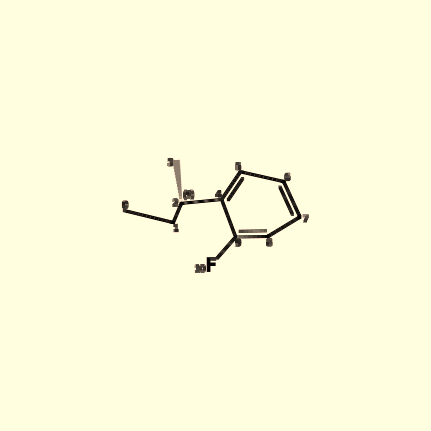 CC[C@H](C)c1ccccc1F